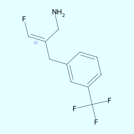 NC/C(=C\F)Cc1cccc(C(F)(F)F)c1